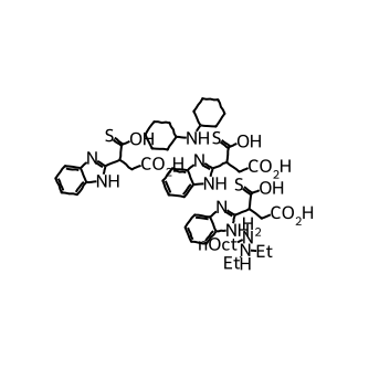 C1CCC(NC2CCCCC2)CC1.CCCCCCCCN.CCNCC.O=C(O)CC(C(O)=S)c1nc2ccccc2[nH]1.O=C(O)CC(C(O)=S)c1nc2ccccc2[nH]1.O=C(O)CC(C(O)=S)c1nc2ccccc2[nH]1